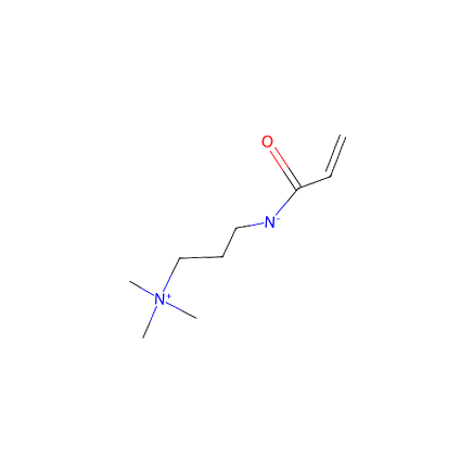 C=CC(=O)[N-]CCC[N+](C)(C)C